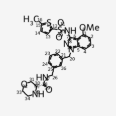 COc1cccc2c1c(NS(=O)(=O)c1ccc(C)s1)nn2Cc1cccc(CNC(=O)[C@H]2COCCN2)c1